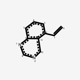 C=Cc1cccc2ncncc12